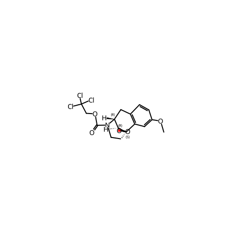 COc1ccc2c(c1)[C@]13CCN(C(=O)OCC(Cl)(Cl)Cl)[C@H](C2)[C@@H]1OCOC3